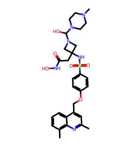 Cc1cc(COc2ccc(S(=O)(=O)NC3(CC(=O)NO)CN(C(O)N4CCN(C)CC4)C3)cc2)c2cccc(C)c2n1